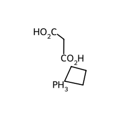 C1CCC1.O=C(O)CC(=O)O.P